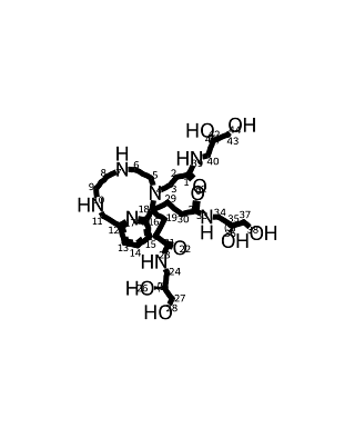 O=C(CCN1CCNCCNCc2cccc(n2)C1(CCC(=O)NC[C@H](O)CO)CCC(=O)NC[C@H](O)CO)NC[C@H](O)CO